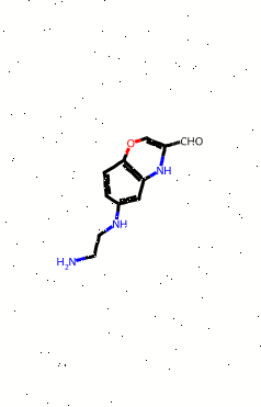 NCCNc1ccc2c(c1)NC(C=O)=CO2